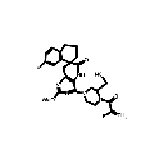 C=C(F)C(=O)N1CCN(c2nc(OC)nc3c2NC(=O)C2(CCCc4ccc(F)cc42)C3)CC1CC#N